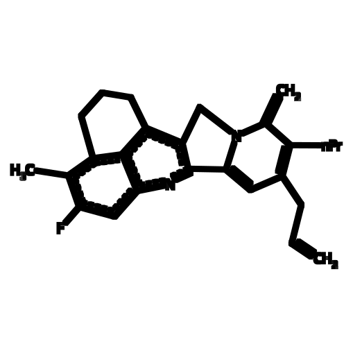 C=CCC1=C(CCC)C(=C)N2Cc3c(nc4cc(F)c(C)c5c4c3CCC5)C2=C1